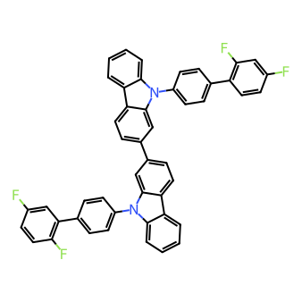 Fc1ccc(-c2ccc(-n3c4ccccc4c4ccc(-c5ccc6c7ccccc7n(-c7ccc(-c8cc(F)ccc8F)cc7)c6c5)cc43)cc2)c(F)c1